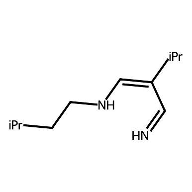 CC(C)CCN/C=C(\C=N)C(C)C